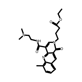 CCOC(=O)CCCn1cc(C(=O)NCCN(C)C)c2nc3c(C)cccc3cc2c1=O